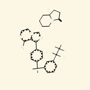 CC(C)(c1cccc([C@](C)(O)c2ccc(-c3nc([C@@H]4CC[C@H]5CCC(=O)N5C4)n4ccnc(N)c34)cc2)c1)C(F)(F)F